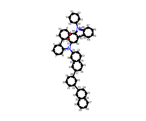 c1ccc(-c2ccccc2N(c2ccc3ccc(-c4cccc(-c5ccc6ccccc6c5)c4)cc3c2)c2ccc3c(c2)c2ccccc2n3-c2ccccc2)cc1